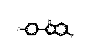 Fc1ccc(-c2cc3cc(F)ccc3[nH]2)cc1